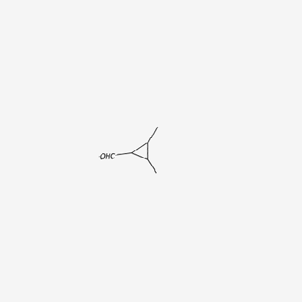 CC1C(C)C1[C]=O